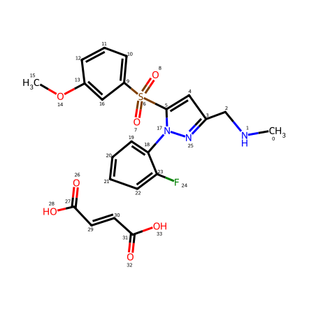 CNCc1cc(S(=O)(=O)c2cccc(OC)c2)n(-c2ccccc2F)n1.O=C(O)C=CC(=O)O